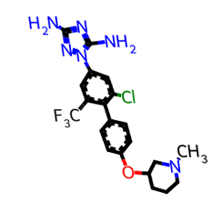 CN1CCCC(Oc2ccc(-c3c(Cl)cc(-n4nc(N)nc4N)cc3C(F)(F)F)cc2)C1